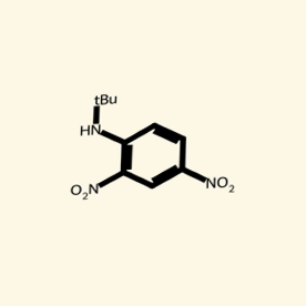 CC(C)(C)Nc1ccc([N+](=O)[O-])cc1[N+](=O)[O-]